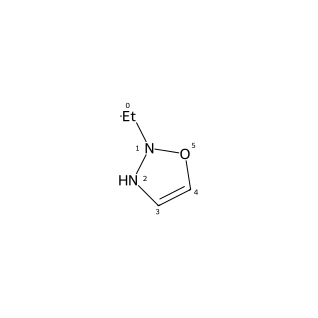 C[CH]N1NC=CO1